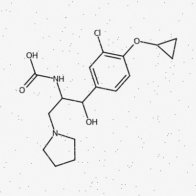 O=C(O)NC(CN1CCCC1)C(O)c1ccc(OC2CC2)c(Cl)c1